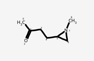 CC(=O)CCC1CN1C